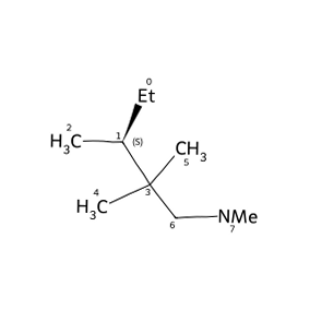 CC[C@H](C)C(C)(C)CNC